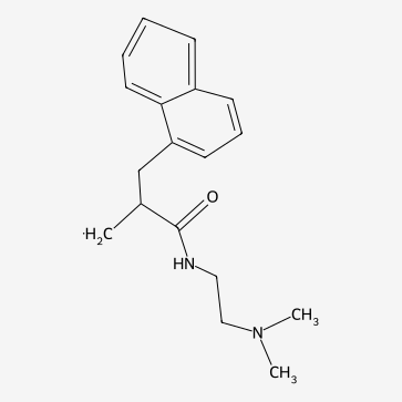 [CH2]C(Cc1cccc2ccccc12)C(=O)NCCN(C)C